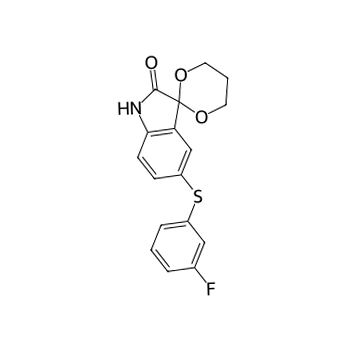 O=C1Nc2ccc(Sc3cccc(F)c3)cc2C12OCCCO2